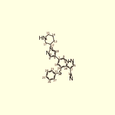 N#Cc1cnn2cc(-c3cnn(C4CCCNC4)c3)cc(Sc3ccccc3)c12